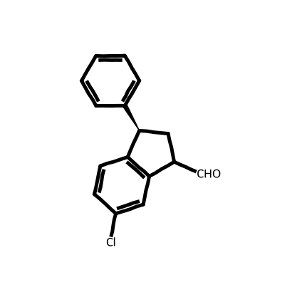 O=CC1C[C@H](c2ccccc2)c2ccc(Cl)cc21